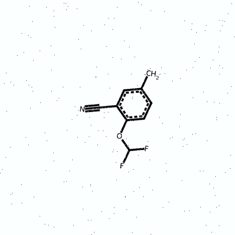 [CH2]c1ccc(OC(F)F)c(C#N)c1